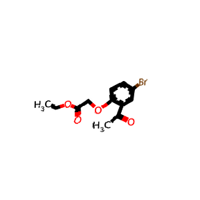 CCOC(=O)COc1ccc(Br)cc1C(C)=O